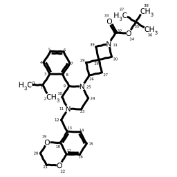 CC(C)c1ccccc1C1CN(Cc2cccc3c2OCCO3)CCN1C1CC2(C1)CN(C(=O)OC(C)(C)C)C2